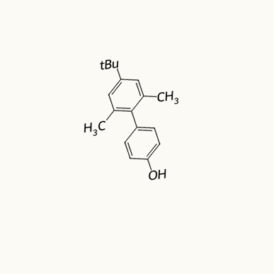 Cc1cc(C(C)(C)C)cc(C)c1-c1ccc(O)cc1